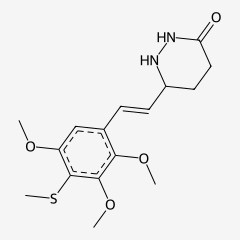 COc1cc(/C=C/C2CCC(=O)NN2)c(OC)c(OC)c1SC